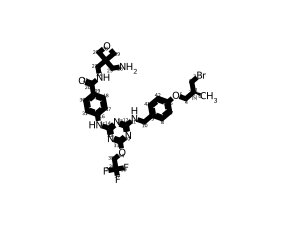 C[C@H](CBr)COc1ccc(CNc2nc(Nc3ccc(C(=O)NCC4(CN)COC4)cc3)nc(OCC(F)(F)F)n2)cc1